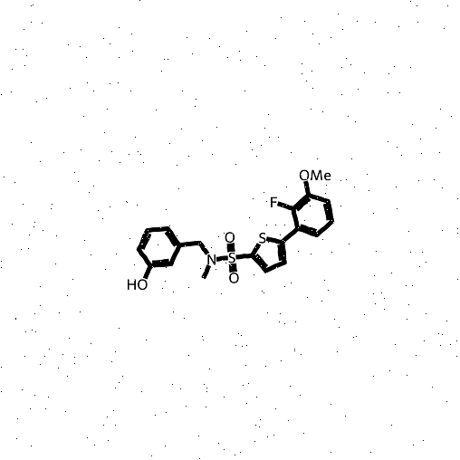 COc1cccc(-c2ccc(S(=O)(=O)N(C)Cc3cccc(O)c3)s2)c1F